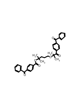 CC(C)(CCCOC(C)(C)C(=O)c1ccc(C(=O)c2ccccc2)cc1)OC(=O)c1ccc(C(=O)c2ccccc2)cc1